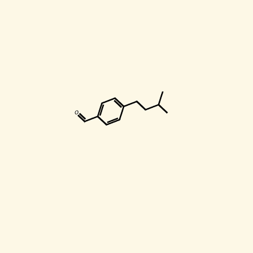 CC(C)CCc1ccc([C]=O)cc1